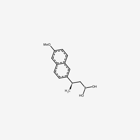 COc1ccc2cc([C@H](C)CB(O)O)ccc2c1